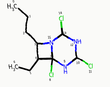 CCCC1C(CC)C2(Cl)NC(Cl)NC(Cl)N12